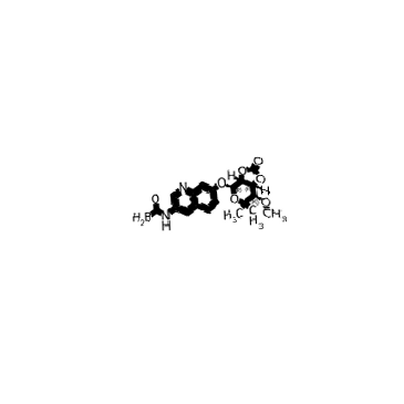 BC(=O)Nc1cnc2cc(O[C@@H]3OC(C)(C)[C@H](OC)[C@H]4OC(=O)O[C@@H]34)ccc2c1